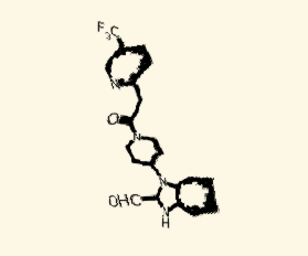 O=CC1Nc2ccccc2N1C1CCN(C(=O)Cc2ccc(C(F)(F)F)cn2)CC1